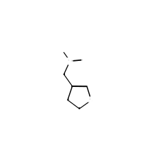 CCN(CC1CCNC1)C(=O)O